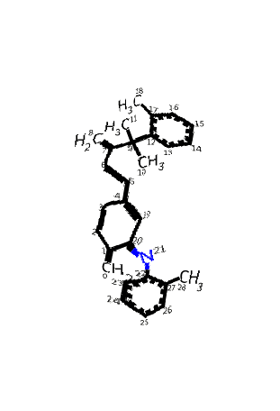 C=C1C=CC(/C=C/C(=C)C(C)(C)c2ccccc2C)=CC/1=N/c1ccccc1C